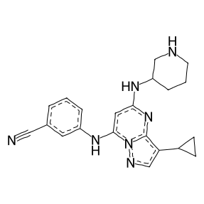 N#Cc1cccc(Nc2cc(NC3CCCNC3)nc3c(C4CC4)cnn23)c1